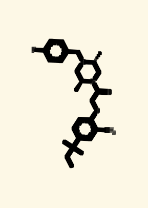 CCC(C)(C)c1ccc(OCC(=O)N2C[C@@H](C)N(Cc3ccc(F)cc3)C[C@@H]2C)c(N)c1